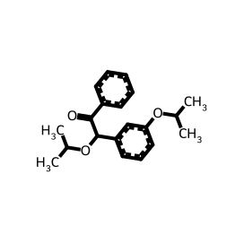 CC(C)Oc1cccc(C(OC(C)C)C(=O)c2ccccc2)c1